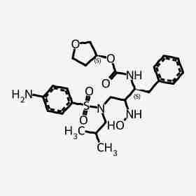 CC(C)CN(CC(NO)[C@H](Cc1ccccc1)NC(=O)O[C@H]1CCOC1)S(=O)(=O)c1ccc(N)cc1